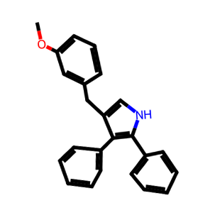 COc1cccc(Cc2c[nH]c(-c3ccccc3)c2-c2ccccc2)c1